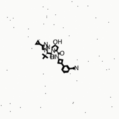 CC(C)(C)[C@@H](C(=O)N1C[C@H](O)C[C@H]1C(=O)NC1CC(c2cccc(C#N)c2)C1)n1cc(C2CC2)nn1